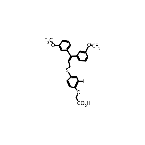 O=C(O)COc1ccc(SCC=C(c2cccc(OC(F)(F)F)c2)c2cccc(OC(F)(F)F)c2)cc1I